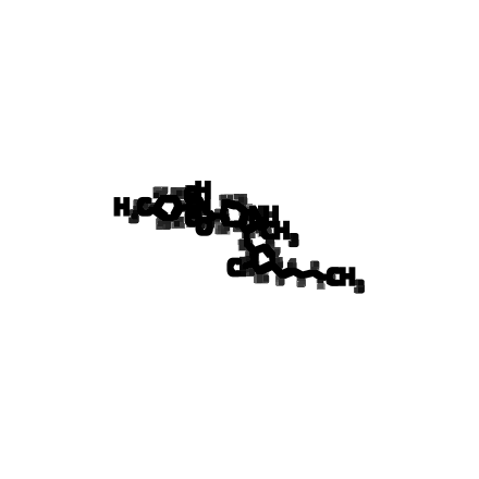 CCCC/C=C/c1ccc(Cc2c(C)[nH]c3ccc(C(=O)NS(=O)(=O)c4ccc(C)cc4)cc23)c(Cl)c1